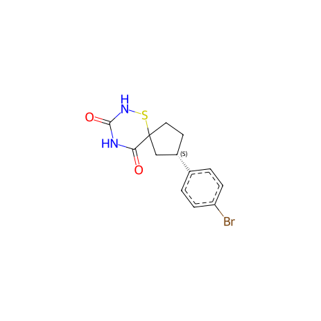 O=C1NSC2(CC[C@H](c3ccc(Br)cc3)C2)C(=O)N1